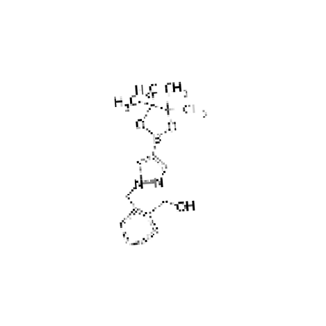 CC1(C)OB(c2cnn(Cc3ccccc3CO)c2)OC1(C)C